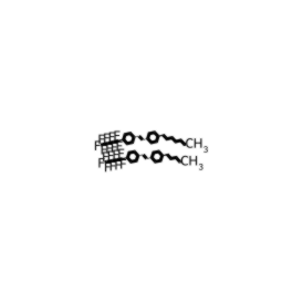 CCCCCCC[C@H]1CC[C@H](CC[C@H]2CC[C@H](C(F)(F)C(F)(F)C(F)(F)C(F)(F)F)CC2)CC1.CCCCC[C@H]1CC[C@H](CC[C@H]2CC[C@H](C(F)(F)C(F)(F)C(F)(F)C(F)(F)F)CC2)CC1